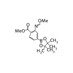 COC=Nc1cc(B2OC(C)(C)C(C)(C)O2)ccc1C(=O)OC